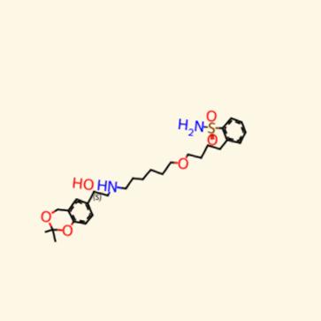 CC1(C)OCc2cc([C@H](O)CNCCCCCCOCCCCc3ccccc3S(N)(=O)=O)ccc2O1